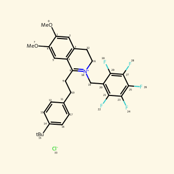 COc1cc2c(cc1OC)C(CCc1ccc(C(C)(C)C)cc1)=[N+](Cc1c(F)c(F)c(F)c(F)c1F)CC2.[Cl-]